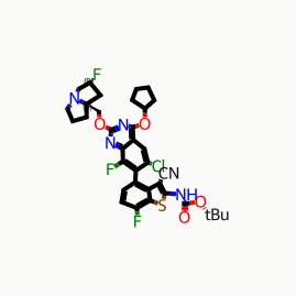 CC(C)(C)OC(=O)Nc1sc2c(F)ccc(-c3c(Cl)cc4c(OC5CCCC5)nc(OC[C@@]56CCCN5C[C@H](F)C6)nc4c3F)c2c1C#N